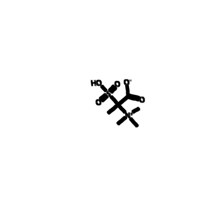 CC(C(=O)[O-])([N+](C)(C)C)S(=O)(=O)O